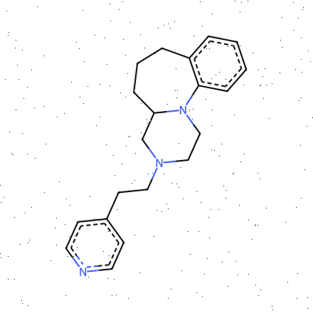 c1ccc2c(c1)CCCC1CN(CCc3ccncc3)CCN21